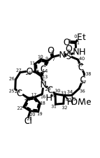 CCC(=O)NS1(=O)=NC(=O)c2ccc3c(c2)N(Cc2ccc(Cl)cc2CCCCO3)C[C@@H]2CC[C@H]2[C@@H](OC)CCCCC1